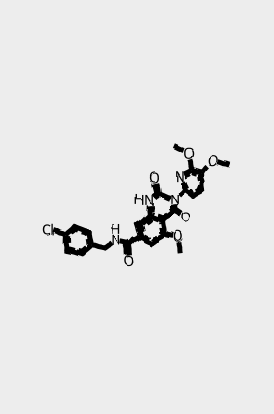 COc1ccc(-n2c(=O)[nH]c3cc(C(=O)NCc4ccc(Cl)cc4)cc(OC)c3c2=O)nc1OC